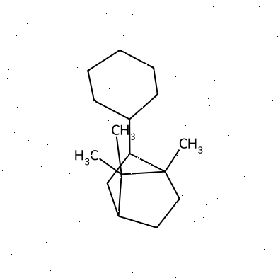 CC1(C)C2CCC1(C)C(C1CCCCC1)C2